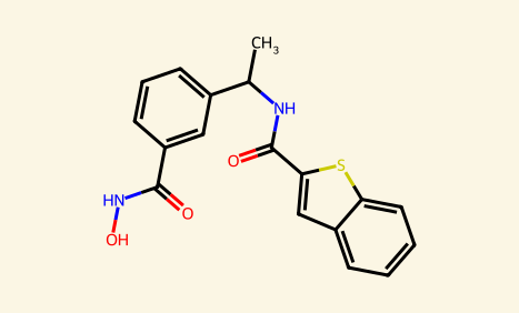 CC(NC(=O)c1cc2ccccc2s1)c1cccc(C(=O)NO)c1